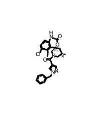 C[C@H]1CN(C(=O)c2cnn(Cc3ccccc3)c2)C[C@]2(C1)OC(=O)Nc1ccc(Cl)c(F)c12